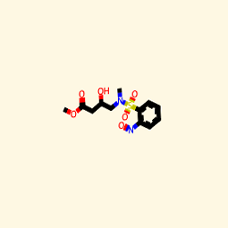 COC(=O)CC(O)CN(C)S(=O)(=O)c1ccccc1N=O